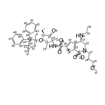 CCCC(C)(O[C@@H](C)C(=O)C(C)(CC)NS(=O)(=O)c1cc2c(s1)S(=O)(=O)N(CCCOC)C[C@@H]2NCC)[Si](c1ccccc1)(c1ccccc1)C(C)(C)C